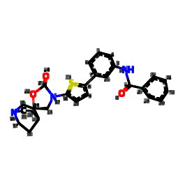 O=C(Nc1cccc(-c2ccc(N3C[C@@]4(CN5CCC4CC5)OC3=O)s2)c1)c1ccccc1